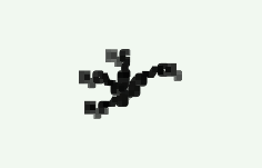 CCCCOCC1OC[C@@H](OCCCC)[C@@H](OCCCC)[C@@H]1OCCCC